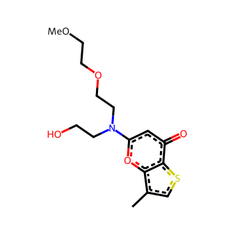 COCCOCCN(CCO)c1cc(=O)c2scc(C)c2o1